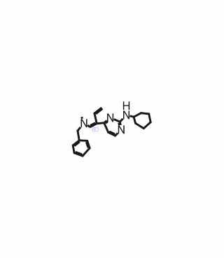 C=C/C(=C\N(C)Cc1ccccc1)c1ccnc(NC2CCCCC2)n1